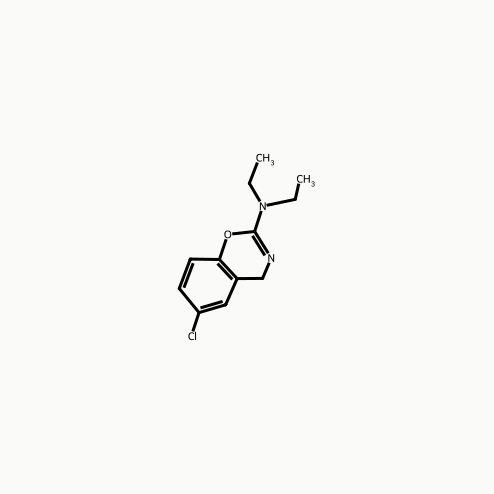 CCN(CC)C1=NCc2cc(Cl)ccc2O1